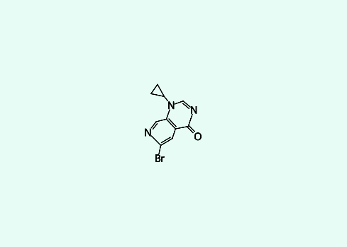 O=c1ncn(C2CC2)c2cnc(Br)cc12